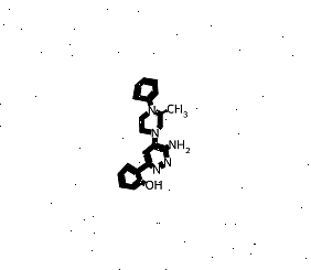 C[C@H]1CN(c2cc(-c3ccccc3O)nnc2N)CCN1c1ccccc1